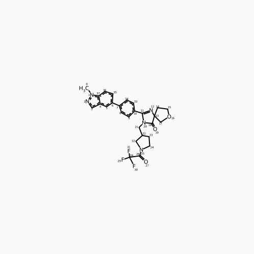 Cn1ncc2cc(-c3ccc(C4=NC5(CCOC5)C(=O)N4CC4CCN(C(=O)C(F)(F)F)C4)cc3)ccc21